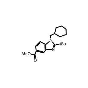 COC(=O)c1ccc2c(c1)nc(C(C)(C)C)n2CC1CCCCC1